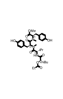 CCC(=O)O[C@@H](C(=O)N[C@H](C(=O)N(C)[C@@H](Cc1ccc(O)cc1)C(=O)N(C)[C@H](Cc1ccc(O)cc1)C(=O)OC)C(C)C)[C@@H](C)CC